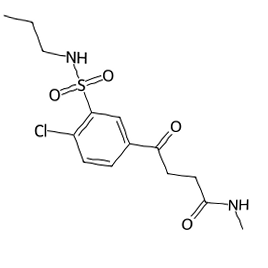 CCCNS(=O)(=O)c1cc(C(=O)CCC(=O)NC)ccc1Cl